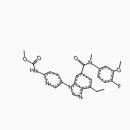 CCc1cc(C(=O)N(C)c2ccc(F)c(OC)c2)cc2c1ncn2-c1ccc(NC(=O)OC)nc1